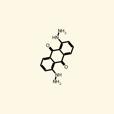 NNc1cccc2c1C(=O)c1cccc(NN)c1C2=O